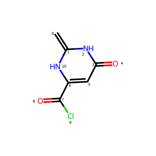 C=C1NC(=O)C=C(C(=O)Cl)N1